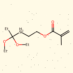 C=C(C)C(=O)OCC[SiH2]C(CC)(OCC)OCC